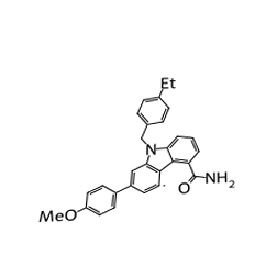 CCc1ccc(Cn2c3cc(-c4ccc(OC)cc4)c[c]c3c3c(C(N)=O)cccc32)cc1